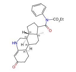 CCOC(=O)N(C(=O)C1CC[C@H]2[C@@H]3CNC4=CC(=O)CC[C@]4(C)[C@@H]3CC[C@]12C)c1ccccc1